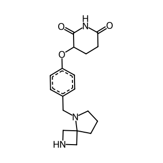 O=C1CCC(Oc2ccc(CN3CCCC34CNC4)cc2)C(=O)N1